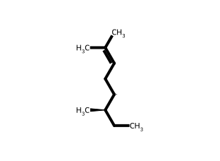 CC[C@@H](C)[CH]CC=C(C)C